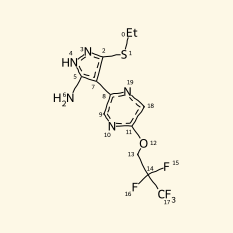 CCSc1n[nH]c(N)c1-c1cnc(OCC(F)(F)C(F)(F)F)cn1